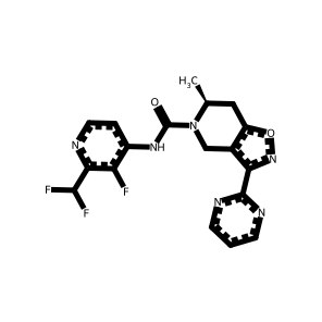 C[C@H]1Cc2onc(-c3ncccn3)c2CN1C(=O)Nc1ccnc(C(F)F)c1F